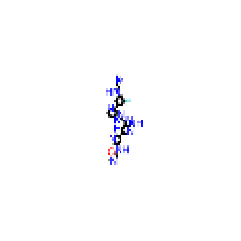 CN(C)CCNc1cc(F)cc(-c2nccc3[nH]c(-c4n[nH]c5ncc(-c6cncc(NC(=O)CN(C)C)c6)cc45)nc23)c1